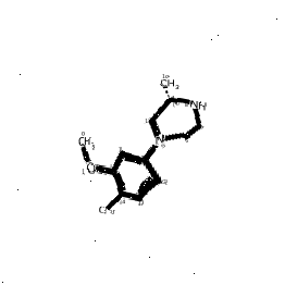 COc1cc(N2CCN[C@@H](C)C2)ccc1Cl